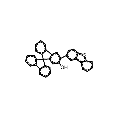 Oc1cc2c(cc1-c1ccc3sc4ccccc4c3c1)-c1ccccc1C21c2ccccc2-c2ccccc21